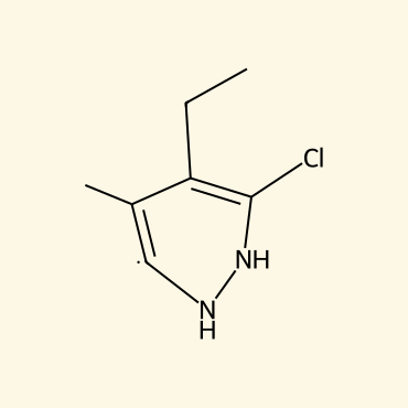 CCC1=C(Cl)NN[C]=C1C